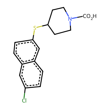 O=C(O)N1CCC(Sc2ccc3cc(Cl)ccc3c2)CC1